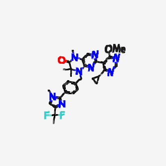 COc1ncnc(C2CC2)c1-c1ncc2c(n1)N(Cc1ccc(-c3nc(C(C)(F)F)cn3C)cc1)C(C)(C)C(=O)N2C